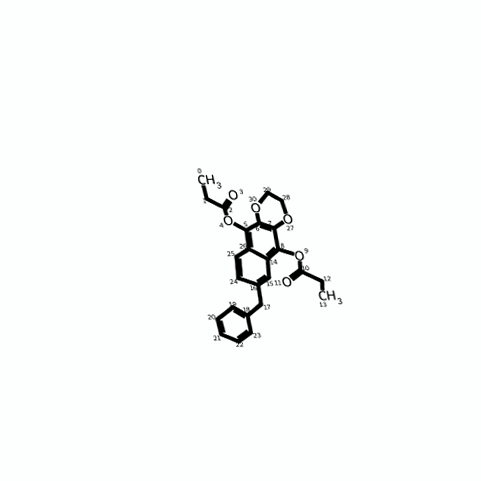 CCC(=O)Oc1c2c(c(OC(=O)CC)c3cc(Cc4ccccc4)ccc13)OCCO2